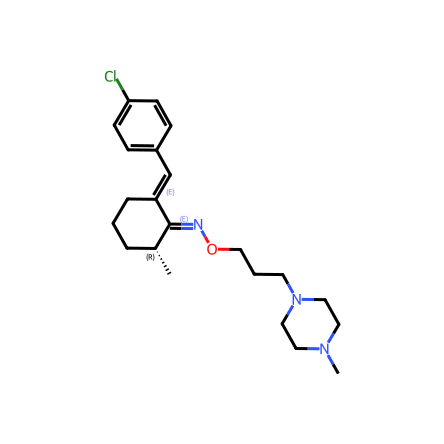 C[C@@H]1CCCC(=C\c2ccc(Cl)cc2)/C1=N/OCCCN1CCN(C)CC1